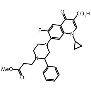 COC(=O)CCN1CCN(c2cc3c(cc2F)c(=O)c(C(=O)O)cn3C2CC2)CC1c1ccccc1